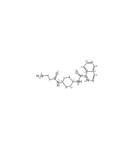 NCCC(=O)NC1CCC(NC(=O)c2nccc3ccccc23)CC1